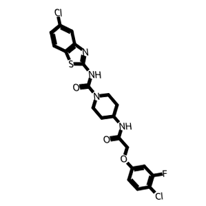 O=C(COc1ccc(Cl)c(F)c1)NC1CCN(C(=O)Nc2nc3cc(Cl)ccc3s2)CC1